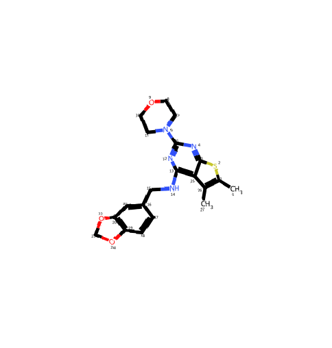 Cc1sc2nc(N3CCOCC3)nc(NCc3ccc4c(c3)OCO4)c2c1C